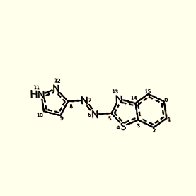 c1ccc2sc(N=Nc3cc[nH]n3)nc2c1